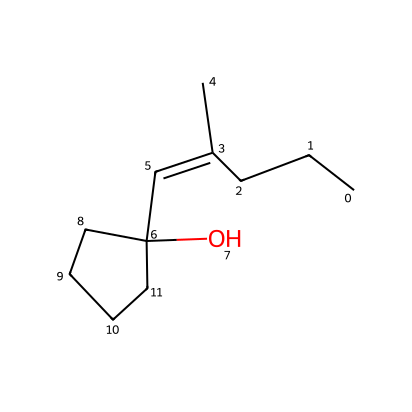 CCCC(C)=CC1(O)CCCC1